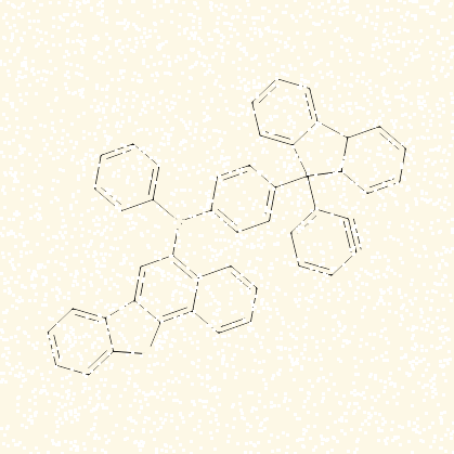 c1cccc(C2(c3ccc(N(c4ccccc4)c4cc5c6ccccc6sc5c5ccccc45)cc3)c3ccccc3C3C=CC=CC32)c#1